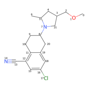 COCC1CC(C)N(C2CCc3c(C#N)cc(Cl)cc3C2)C1